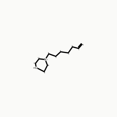 C=CCCCCCN1CCOCC1